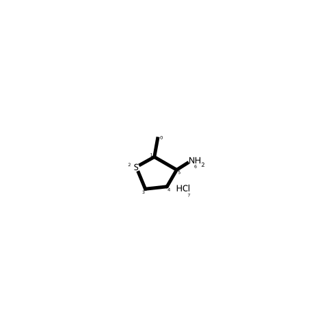 CC1SCCC1N.Cl